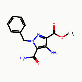 COC(=O)c1nn(Cc2ccccc2)c(C(N)=O)c1N